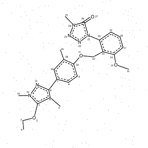 CCOc1c(C)c(-c2ccc(OCc3c(OC)cccc3-n3nnn(C)c3=O)c(C)c2)nn1C